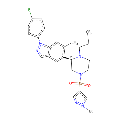 CCn1cc(S(=O)(=O)N2CCN(CCC(F)(F)F)[C@H](c3cc4cnn(-c5ccc(F)cc5)c4cc3C)C2)cn1